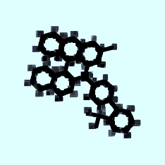 Cc1cccc(N(c2ccc3c(c2)C(C)(C)c2ccccc2-3)c2ccc3ccccc3c2-c2cccc3ccccc23)c1